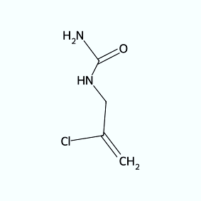 C=C(Cl)CNC(N)=O